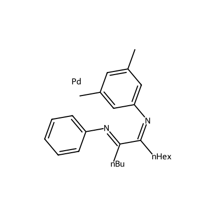 CCCCCCC(=Nc1cc(C)cc(C)c1)C(CCCC)=Nc1ccccc1.[Pd]